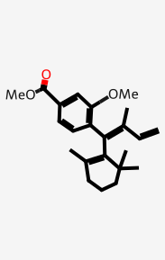 C=CC(C)=C(C1=C(C)CCCC1(C)C)c1ccc(C(=O)OC)cc1OC